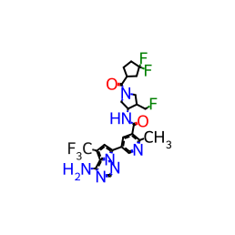 Cc1ncc(-c2cc(C(F)(F)F)c3c(N)ncnn23)cc1C(=O)NC1CN(C(=O)C2CCC(F)(F)C2)CC1CF